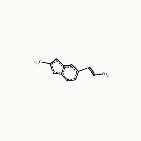 C/C=C/c1ccc2oc(C)cc2c1